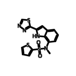 CN(c1cccc2cc(-c3nncs3)[nH]c12)S(=O)(=O)c1cccs1